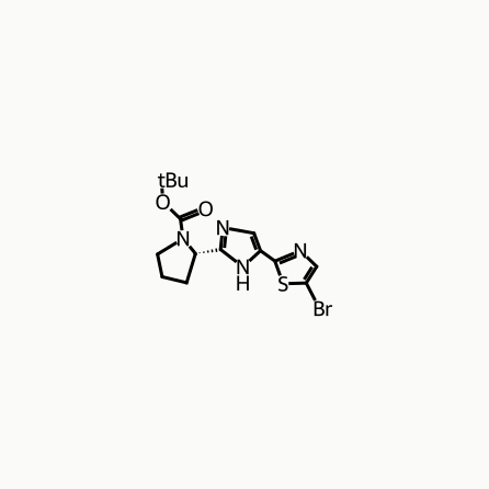 CC(C)(C)OC(=O)N1CCC[C@H]1c1ncc(-c2ncc(Br)s2)[nH]1